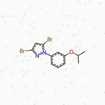 CC(C)Oc1cccc(-n2nc(Br)cc2Br)c1